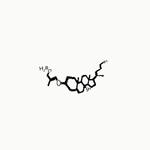 BOC/C(C)=C/OC1CCC2(C)C(=CCC3(S)C2CCC2(C)C([C@H](C)CCCC(C)C)CCC23)C1